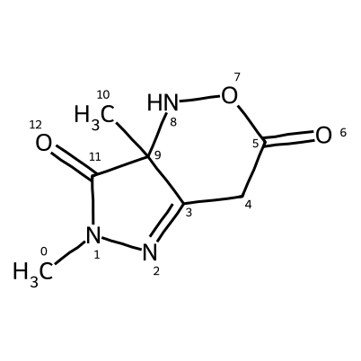 CN1N=C2CC(=O)ONC2(C)C1=O